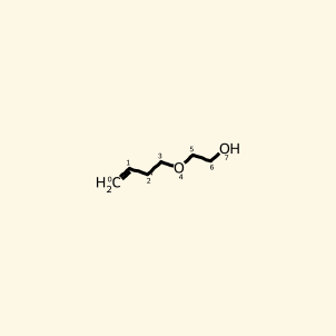 C=C[CH]COCCO